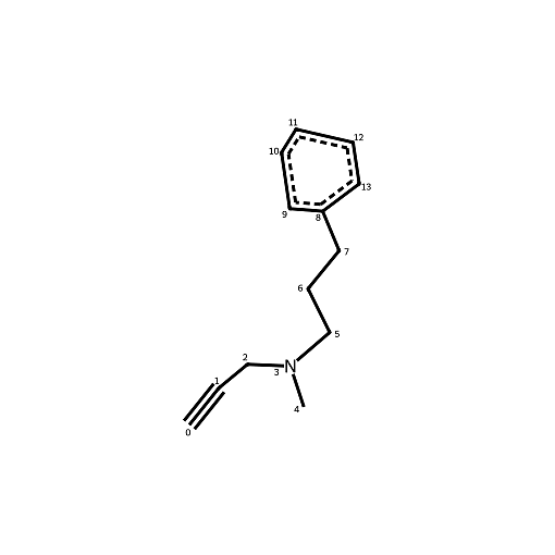 C#CCN(C)CCCc1ccccc1